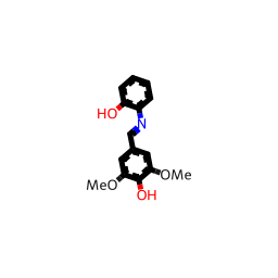 COc1cc(C=Nc2ccccc2O)cc(OC)c1O